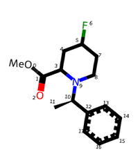 COC(=O)C1CC(F)CCN1[C@H](C)c1ccccc1